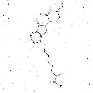 CC(C)NC(=O)CCCCCCc1cccc2c1CN(C1CCC(=O)NC1=O)C2=O